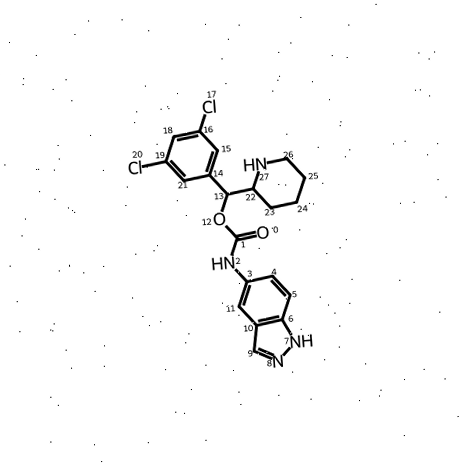 O=C(Nc1ccc2[nH]ncc2c1)OC(c1cc(Cl)cc(Cl)c1)C1CCCCN1